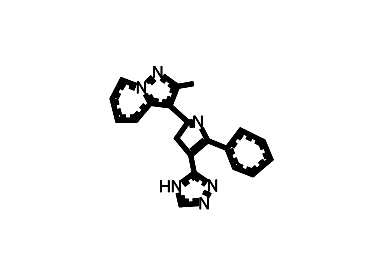 Cc1nn2ccccc2c1C1=NC(c2ccccc2)=C(c2nnc[nH]2)C1